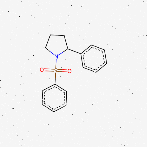 O=S(=O)(c1ccccc1)N1[CH]CCC1c1ccccc1